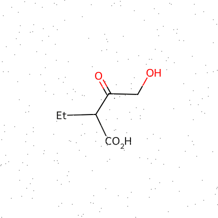 CCC(C(=O)O)C(=O)CO